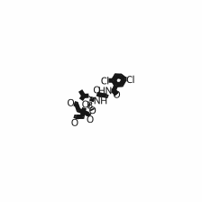 CC(C)C[C@H](NC(=O)CNC(=O)c1cc(Cl)ccc1Cl)B1OC(=O)C(CC=O)(CC=O)O1